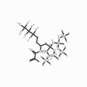 C=C(C)C(=O)OC(CCC(F)(F)C(F)(F)C(F)(F)F)CC(O[SiH](C)C)(O[Si](C)(O[Si](C)(C)C)O[Si](C)(C)C)[SiH2]O[Si](C)(C)C